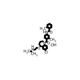 Cc1ccccc1C(=O)Nc1ccc(C(=O)N2CCCC(OCCNC(C)C)c3cc(Cl)ccc32)c(C)c1.Cl